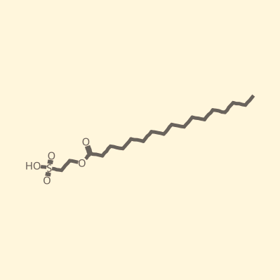 CCCCCCCCCCCCCCCCC(=O)OCCS(=O)(=O)O